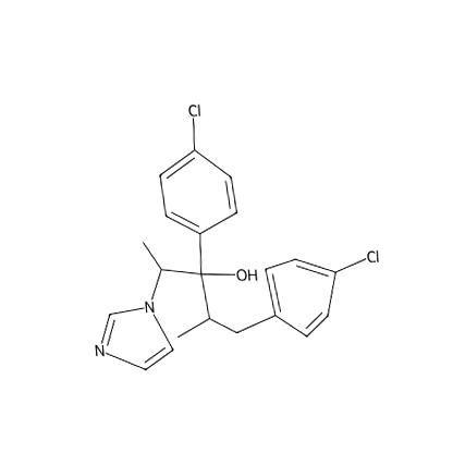 CC(Cc1ccc(Cl)cc1)C(O)(c1ccc(Cl)cc1)C(C)n1ccnc1